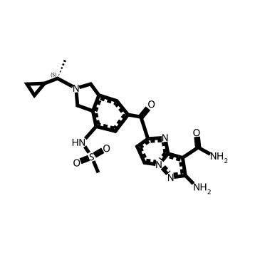 C[C@@H](C1CC1)N1Cc2cc(C(=O)c3ccn4nc(N)c(C(N)=O)c4n3)cc(NS(C)(=O)=O)c2C1